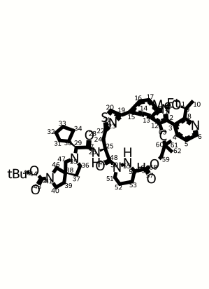 CCn1c(-c2cccnc2[C@H](C)OC)c2c3cc(ccc31)-c1csc(n1)C[C@H](NC(=O)[C@H](C1CCCC1)N1CC[C@]3(CCN(C(=O)OC(C)(C)C)C3)C1)C(=O)N1CCC[C@H](N1)C(=O)OCC(C)(C)C2